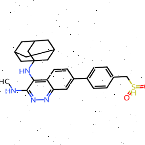 O=CNc1nnc2cc(-c3ccc(C[SH](=O)=O)cc3)ccc2c1NC12CC3CC(CC(C3)C1)C2